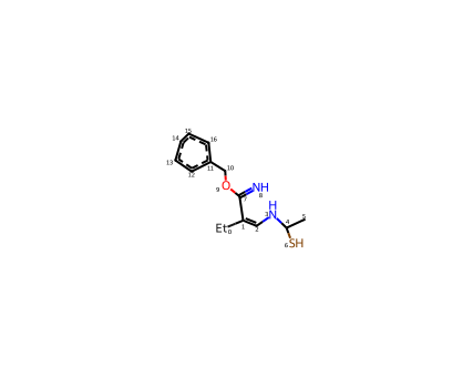 CC/C(=C/NC(C)S)C(=N)OCc1ccccc1